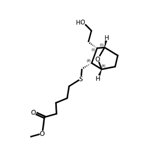 COC(=O)CCCCSC[C@@H]1[C@H](CCO)[C@@H]2CC[C@H]1O2